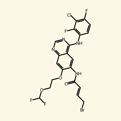 O=C(/C=C/CBr)Nc1cc2c(Nc3ccc(F)c(Cl)c3F)ncnc2cc1OCCOC(F)F